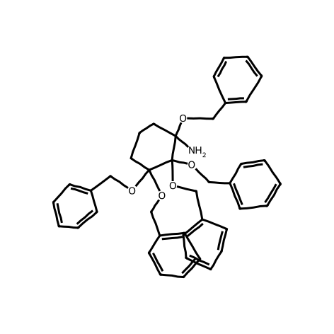 NC1(OCc2ccccc2)CCCC(OCc2ccccc2)(OCc2ccccc2)C1(OCc1ccccc1)OCc1ccccc1